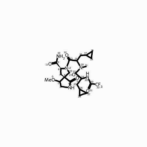 COC1CNC(=O)[C@]12C[C@@H](C(N)=O)N(C(=O)C(CC1CC1)N(C)C(=O)C(CC1CC1)NC(=O)C(F)(F)F)C2